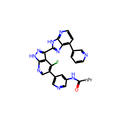 CCCC(=O)Nc1cncc(-c2cnc3[nH]nc(-c4nc5c(-c6cccnc6)ccnc5[nH]4)c3c2F)c1